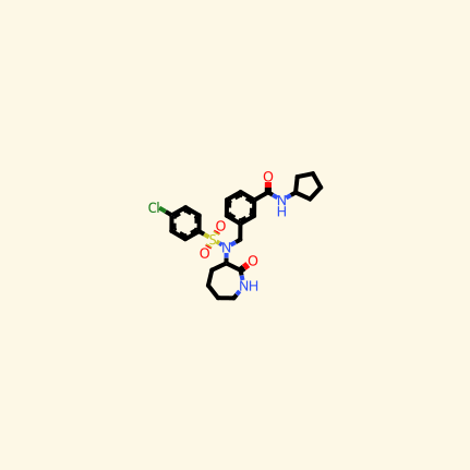 O=C(NC1CCCC1)c1cccc(CN(C2CCCCNC2=O)S(=O)(=O)c2ccc(Cl)cc2)c1